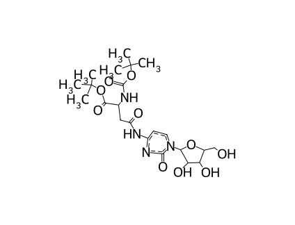 CC(C)(C)OC(=O)NC(CC(=O)Nc1ccn(C2OC(CO)C(O)C2O)c(=O)n1)C(=O)OC(C)(C)C